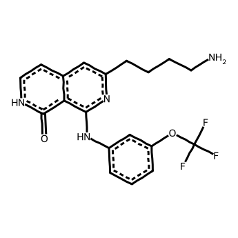 NCCCCc1cc2cc[nH]c(=O)c2c(Nc2cccc(OC(F)(F)F)c2)n1